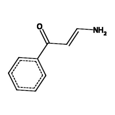 NC=CC(=O)c1ccccc1